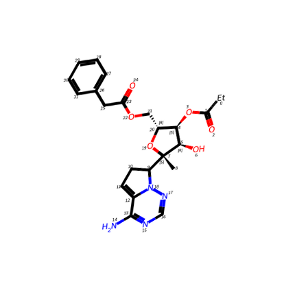 CCC(=O)O[C@H]1[C@@H](O)[C@](C)(C2CC=C3C(N)=NC=NN32)O[C@@H]1COC(=O)Cc1ccccc1